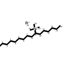 CCCCCCCCCC(CCCCCC)[N+](C)(C)C.[Br-]